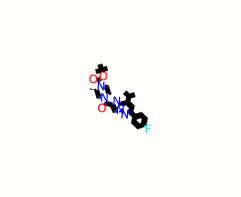 CC(C)c1cc(-c2ccc(F)cc2)nn2cc(C(=O)N3CCN(C(=O)OC(C)(C)C)[C@@H](C)C3)nc12